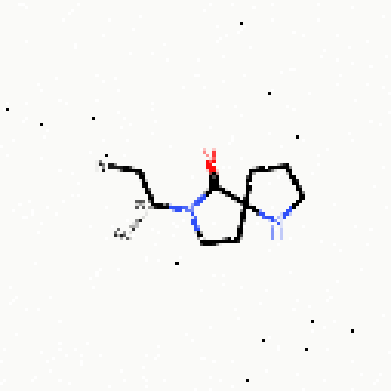 CC(=O)[C@H](CC(C)C)N1CCC2(CCCN2)C1=O